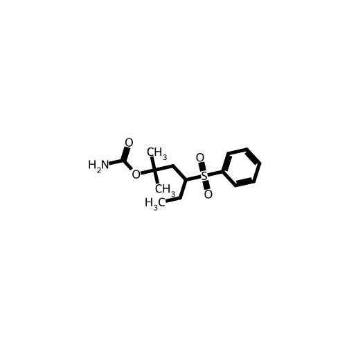 CCC(CC(C)(C)OC(N)=O)S(=O)(=O)c1ccccc1